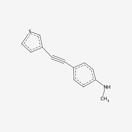 CNc1ccc(C#Cc2ccsc2)cc1